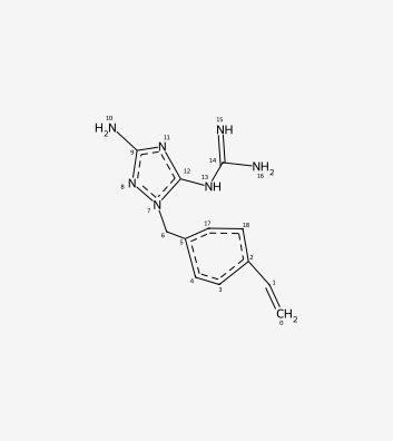 C=Cc1ccc(Cn2nc(N)nc2NC(=N)N)cc1